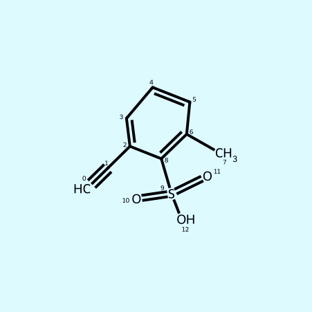 C#Cc1cccc(C)c1S(=O)(=O)O